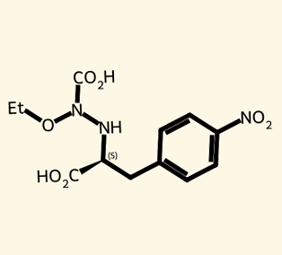 CCON(N[C@@H](Cc1ccc([N+](=O)[O-])cc1)C(=O)O)C(=O)O